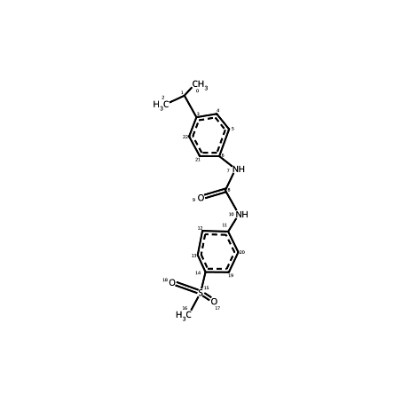 CC(C)c1ccc(NC(=O)Nc2ccc(S(C)(=O)=O)cc2)cc1